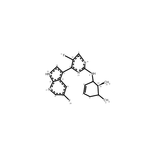 CC1CC=CC(Nc2ncc(F)c(-c3c[nH]c4ncc(F)cc34)n2)[C@H]1C